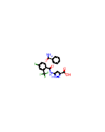 NC(=O)c1ccccc1.O=C(O)c1cc(NC(=O)c2ccc(F)cc2C(F)(F)F)[nH]n1